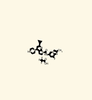 Cc1cn2cc(NC(=O)N3CCc4c(N5CCNCC5)cc(C5CC5)nc43)cc(F)c2n1.O=C(O)C(F)(F)F